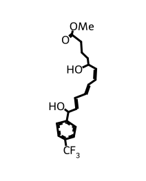 COC(=O)CCCC(O)\C=C/C=C/C=C/C(O)c1ccc(C(F)(F)F)cc1